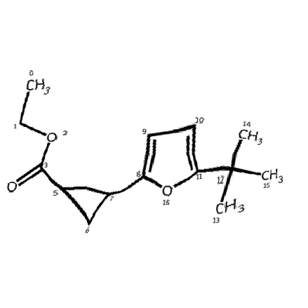 CCOC(=O)C1CC1c1ccc(C(C)(C)C)o1